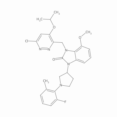 COc1cccc2c1n(Cc1nnc(Cl)cc1OC(C)C)c(=O)n2C1CCN(c2c(C)cccc2F)C1